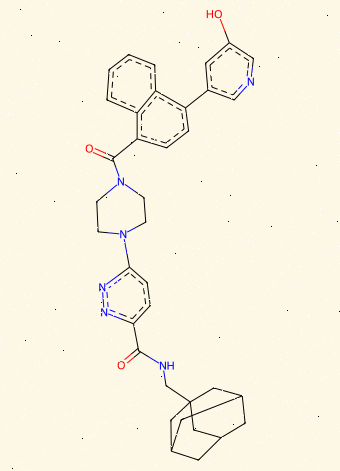 O=C(NCC12CC3CC(CC(C3)C1)C2)c1ccc(N2CCN(C(=O)c3ccc(-c4cncc(O)c4)c4ccccc34)CC2)nn1